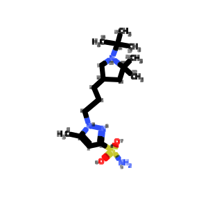 Cc1cc(S(N)(=O)=O)nn1CCCC1CN(C(C)(C)C)C(C)(C)C1